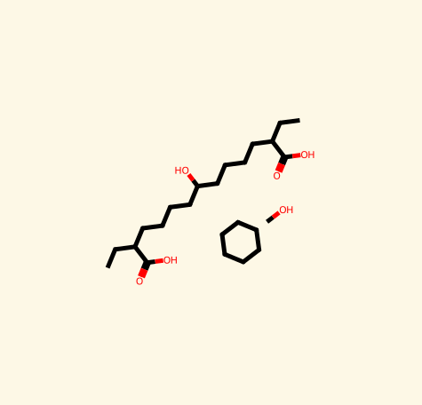 C1CCCCC1.CCC(CCCCC(O)CCCCC(CC)C(=O)O)C(=O)O.CO